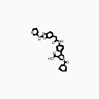 O=C(Cc1ccc2nc(Nc3cccnc3)oc2c1)Nc1ccc(C2CN(C(=O)c3ccccc3)CC2C(=O)O)cc1